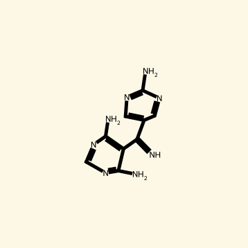 N=C(c1cnc(N)nc1)c1c(N)ncnc1N